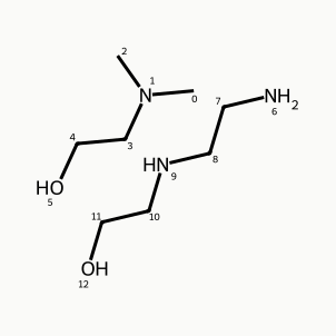 CN(C)CCO.NCCNCCO